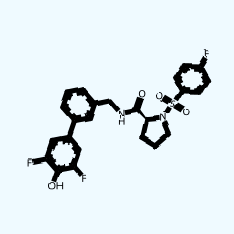 O=C(NCc1cccc(-c2cc(F)c(O)c(F)c2)c1)[C@@H]1CCCN1S(=O)(=O)c1ccc(F)cc1